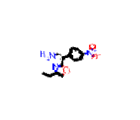 CCc1coc([C@H](CN)c2ccc([N+](=O)[O-])cc2)n1